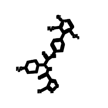 CCc1nocc1C(=O)N[C@H](C(=O)Nc1ccc(-c2c(C)cc[n+]([O-])c2C)cc1)C1CCC(C(F)(F)F)CC1